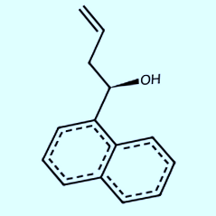 C=CC[C@@H](O)c1cccc2ccccc12